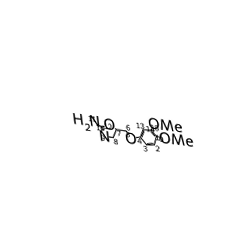 COc1ccc(OCC2CN=C(N)O2)cc1OC